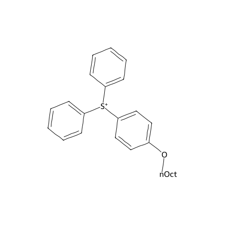 CCCCCCCCOc1ccc([S+](c2ccccc2)c2ccccc2)cc1